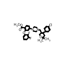 COC(=O)c1ccc(N2CCN(CC3=C(c4ccc(Cl)cc4)CC(C)(C)OC3)CC2)cc1Oc1cccc(F)c1F